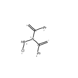 C=C(C(C)C)N(BCl)C(=C)C(C)C